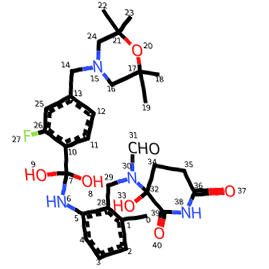 Cc1cccc(NC(O)(O)c2ccc(CN3CC(C)(C)OC(C)(C)C3)cc2F)c1CN(C=O)C1(O)CCC(=O)NC1=O